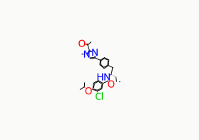 [CH2]C[C@@H](Cc1ccc(-c2cn(C)c(C(C)=O)n2)cc1)NC(=O)c1ccc(OC(C)C)c(Cl)c1